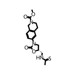 COC(=O)N1CCc2cc(N3C[C@H](CNC(C)=S)OC3=O)ccc2C1